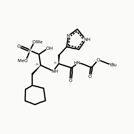 COP(=O)(OC)C(O)[C@H](CC1CCCCC1)N[C@@H](Cc1c[nH]cn1)C(=O)NC(=O)OC(C)(C)C